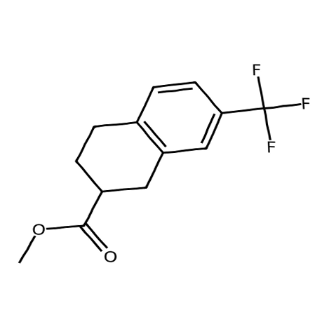 COC(=O)C1CCc2ccc(C(F)(F)F)cc2C1